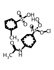 CC(=O)Nc1ccc([As](=O)(OO)OCl)cc1.Cc1cccc(S(=O)(=O)O)c1